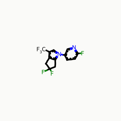 Fc1ccc(-n2cc(C(F)(F)F)c3c2CC(F)(F)C3)cn1